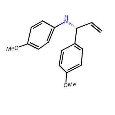 C=C[C@@H](Nc1ccc(OC)cc1)c1ccc(OC)cc1